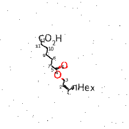 CCCCCC/C=C\COC(=O)CCCCCC(=O)O